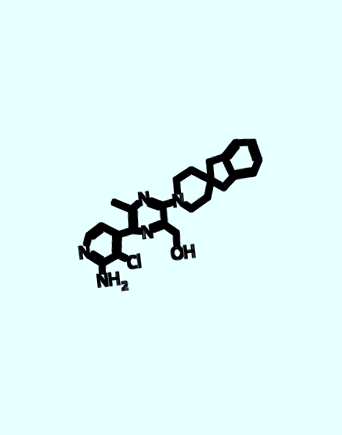 Cc1nc(N2CCC3(CC2)Cc2ccccc2C3)c(CO)nc1-c1ccnc(N)c1Cl